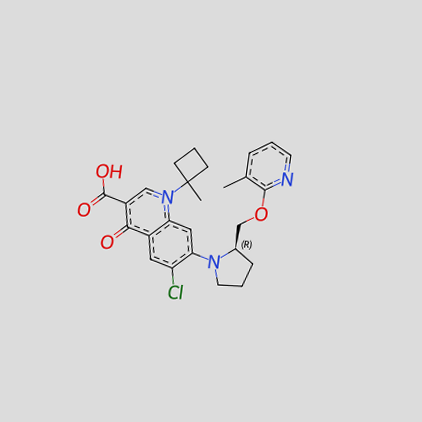 Cc1cccnc1OC[C@H]1CCCN1c1cc2c(cc1Cl)c(=O)c(C(=O)O)cn2C1(C)CCC1